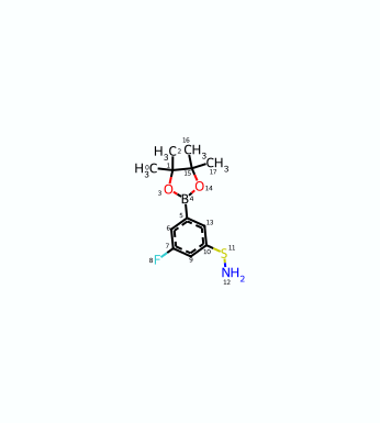 CC1(C)OB(c2cc(F)cc(SN)c2)OC1(C)C